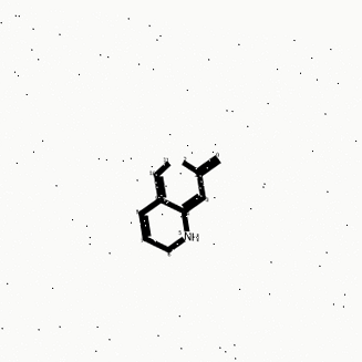 C=C(C)/C=C1/NCC=C/C1=C/C